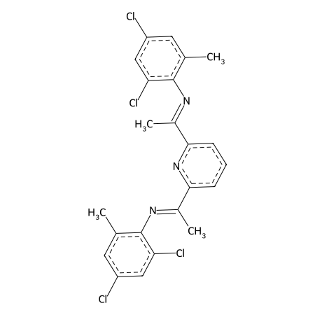 C/C(=N\c1c(C)cc(Cl)cc1Cl)c1cccc(/C(C)=N/c2c(C)cc(Cl)cc2Cl)n1